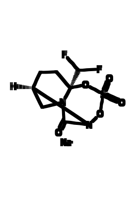 O=C1N2OS(=O)(=O)O[C@]3(C(F)F)CC[C@@H]2CN13.[Na]